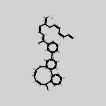 C=C/C=C\C=C/CC(/C=C\C=C(/C)c1cccc(-c2ccc3c(c2)C/C=C\C=C/C(C)c2ccccc2-3)c1)=C\S